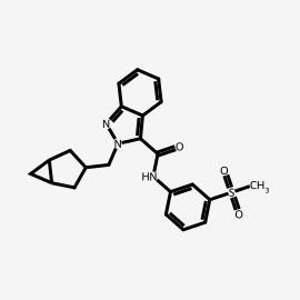 CS(=O)(=O)c1cccc(NC(=O)c2c3ccccc3nn2CC2CC3CC3C2)c1